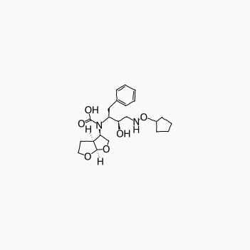 O=C(O)N([C@H]1CO[C@H]2OCC[C@H]21)[C@@H](Cc1ccccc1)[C@H](O)CNOC1CCCC1